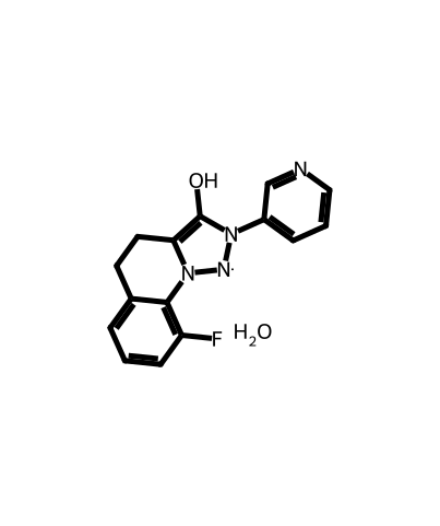 O.OC1=C2CCc3cccc(F)c3N2[N]N1c1cccnc1